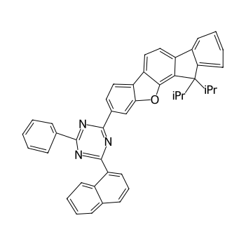 CC(C)C1(C(C)C)c2ccccc2-c2ccc3c(oc4cc(-c5nc(-c6ccccc6)nc(-c6cccc7ccccc67)n5)ccc43)c21